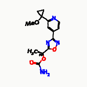 COC1(c2cc(-c3noc([C@H](C)OC(N)=O)n3)ccn2)CC1